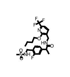 CCCCOc1nc(C(F)(F)F)ccc1CNC(=O)C(C)c1ccc(CNS(C)(=O)=O)c(F)c1